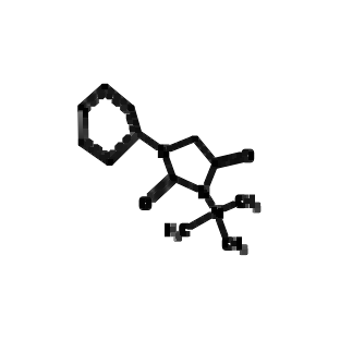 C[Si](C)(C)N1C(=O)CN(c2ccccc2)C1=O